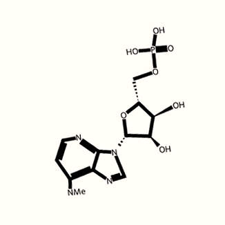 CNc1ccnc2c1ncn2[C@@H]1O[C@H](COP(=O)(O)O)[C@@H](O)[C@H]1O